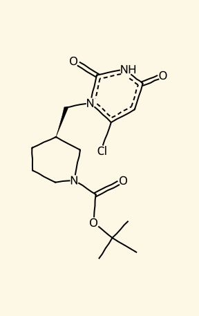 CC(C)(C)OC(=O)N1CCC[C@@H](Cn2c(Cl)cc(=O)[nH]c2=O)C1